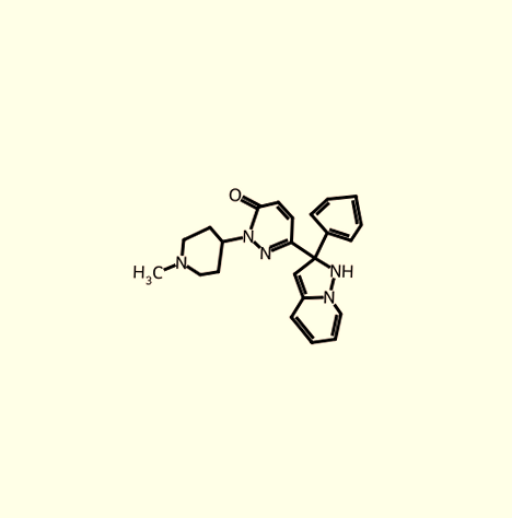 CN1CCC(n2nc(C3(c4ccccc4)C=C4C=CC=CN4N3)ccc2=O)CC1